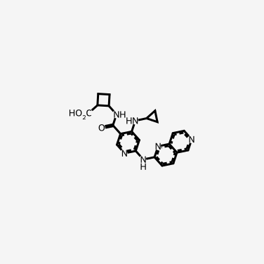 O=C(NC1CCC1C(=O)O)c1cnc(Nc2ccc3cnccc3n2)cc1NC1CC1